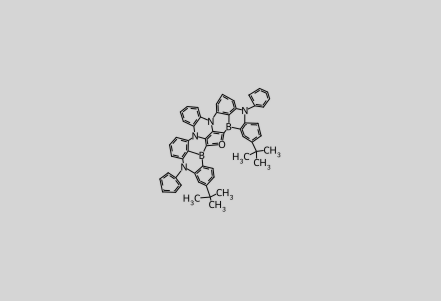 CC(C)(C)c1ccc2c(c1)B1c3oc4c5c3N(c3ccccc3N5c3cccc5c3B4c3ccc(C(C)(C)C)cc3N5c3ccccc3)c3cccc(c31)N2c1ccccc1